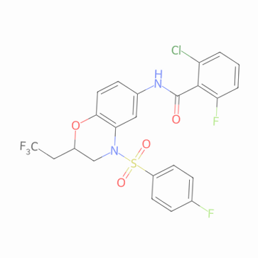 O=C(Nc1ccc2c(c1)N(S(=O)(=O)c1ccc(F)cc1)CC(CC(F)(F)F)O2)c1c(F)cccc1Cl